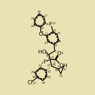 O=C(O)[C@@](F)([C@@H](O)Cc1ccc(F)c(Oc2ccccc2)c1)[C@@H](c1ccc(Cl)cc1)C1CC1